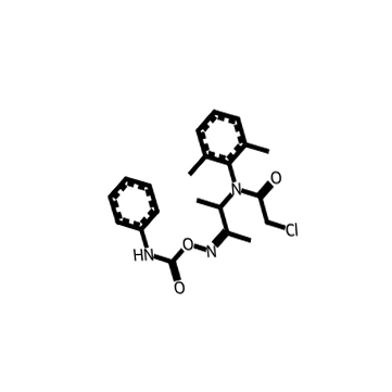 CC(=NOC(=O)Nc1ccccc1)C(C)N(C(=O)CCl)c1c(C)cccc1C